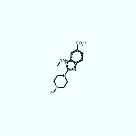 CC(C)N1CCN(c2nc3ccc(C(=O)O)cc3s2)CC1.CNC